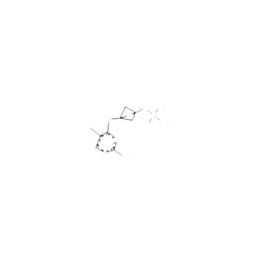 Cc1ncc(Br)c(NC23CC(O[Si](C)(C)C(C)(C)C)(C2)C3)n1